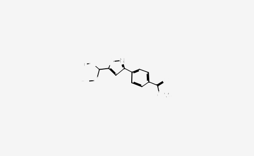 CCOC(OCC)c1cc(-c2ccc(C(=O)OC)cc2)no1